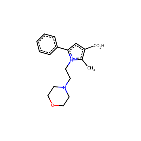 Cc1c(C(=O)O)cc(-c2ccccc2)n1CCN1CCOCC1